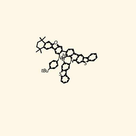 CC(C)(C)c1ccc(Nc2cc3c(cc2-c2ccc4c5cc6c(cc5n5c4c2Bc2cc4sc7ccccc7c4cc2-5)sc2ccccc26)oc2cc4c(cc23)C(C)(C)CCC4(C)C)cc1